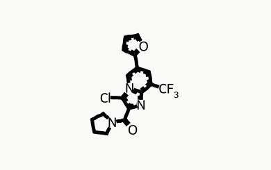 O=C(c1nc2c(C(F)(F)F)cc(-c3ccco3)cn2c1Cl)N1CCCC1